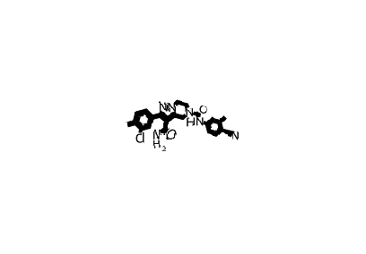 Cc1ccc(-c2nn3c(c2C(N)=O)CN(C(=O)Nc2ccc(C#N)c(C)c2)CC3)cc1Cl